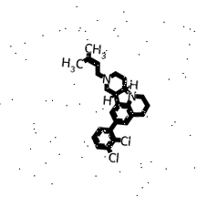 CC(C)=CCN1CC[C@H]2[C@@H](C1)c1cc(-c3cccc(Cl)c3Cl)cc3c1N2CCC3